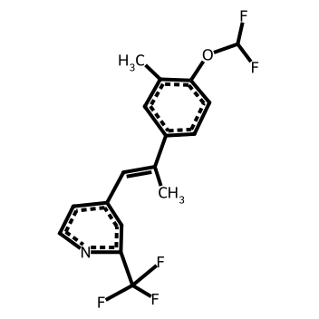 C/C(=C\c1ccnc(C(F)(F)F)c1)c1ccc(OC(F)F)c(C)c1